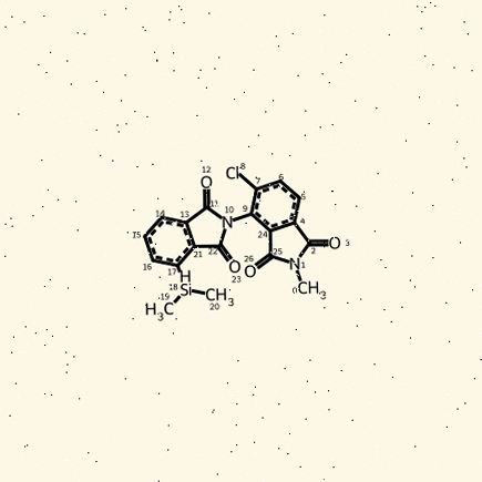 CN1C(=O)c2ccc(Cl)c(N3C(=O)c4cccc([SiH](C)C)c4C3=O)c2C1=O